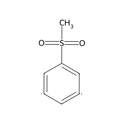 CS(=O)(=O)c1c[c]c[c]c1